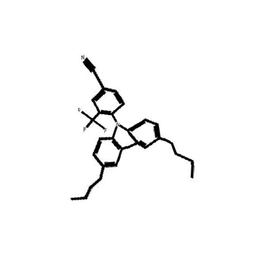 CCCCc1ccc2c(c1)c1cc(CCCC)ccc1n2-c1ccc(C#N)cc1C(F)(F)F